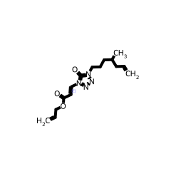 C=CCOC(=O)/C=C/n1nnn(CCCC(C)CC=C)c1=O